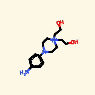 Nc1ccc(N2CC[N+](CCO)(CCO)CC2)cc1